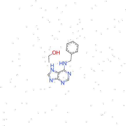 CCO.c1ccc(CNc2ncnc3nc[nH]c23)cc1